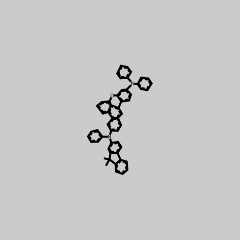 CC1(C)c2ccccc2-c2ccc(N(c3ccccc3)c3ccc4cc5c6c(cccc6c4c3)Oc3cc(N(c4ccccc4)c4ccccc4)ccc3-5)cc21